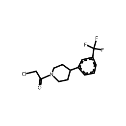 O=C(CCl)N1CC[C](c2cccc(C(F)(F)F)c2)CC1